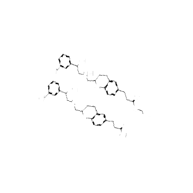 CCOC(=O)CCc1ccc2c(c1)CCC(CNCC(O)c1cccc(Cl)c1)O2.O=C(O)CCc1ccc2c(c1)CCC(CNCC(O)c1cccc(Cl)c1)O2